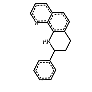 c1ccc(C2CCc3ccc4cccnc4c3N2)cc1